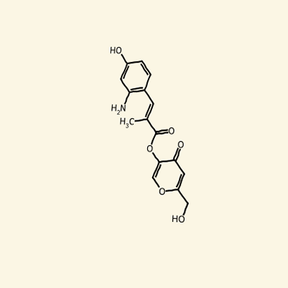 C/C(=C\c1ccc(O)cc1N)C(=O)Oc1coc(CO)cc1=O